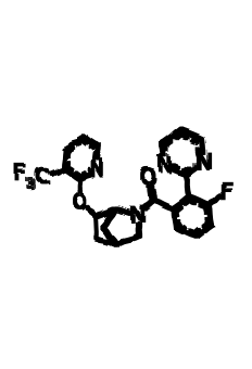 O=C(c1cccc(F)c1-c1ncccn1)N1CC2CC(Oc3ncccc3C(F)(F)F)C1C2